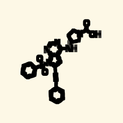 O=C(O)N1CC[C@@H](Nc2ncnc3c2cc(C#Cc2ccccc2)n3S(=O)(=O)c2ccccc2)C1